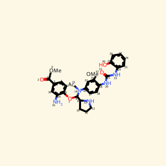 COC(=O)c1ccc(OC(C2CCCN2)N(C(C)=O)c2ccc(NC(=O)Nc3ccccc3O)c(OC)c2)c(N)c1